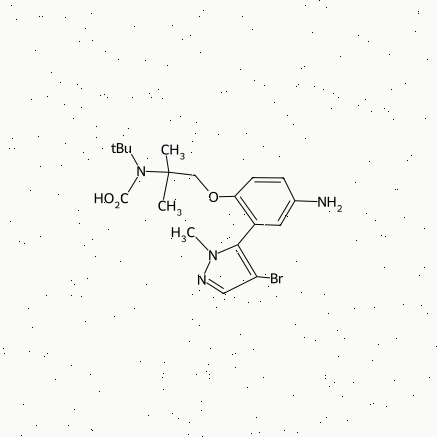 Cn1ncc(Br)c1-c1cc(N)ccc1OCC(C)(C)N(C(=O)O)C(C)(C)C